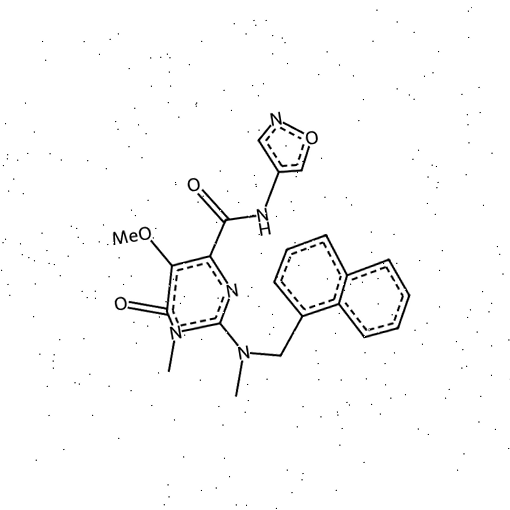 COc1c(C(=O)Nc2cnoc2)nc(N(C)Cc2cccc3ccccc23)n(C)c1=O